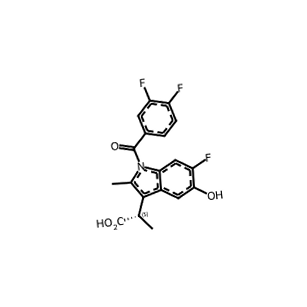 Cc1c([C@H](C)C(=O)O)c2cc(O)c(F)cc2n1C(=O)c1ccc(F)c(F)c1